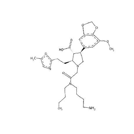 CCCCN(CCCCN)C(=O)CN1C[C@H](c2cc(OC)c3c(c2)OCO3)[C@@H](C(=O)O)[C@@H]1CCc1ncc(C)o1